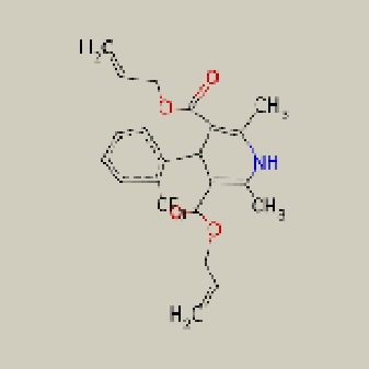 C=CCOC(=O)C1=C(C)NC(C)=C(C(=O)OCC=C)C1c1ccccc1C(F)(F)F